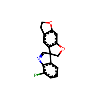 Fc1cccc2c1N=CC21COc2cc3c(cc21)CCO3